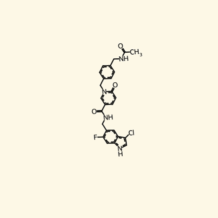 CC(=O)NCc1ccc(Cn2cc(C(=O)NCc3cc4c(Cl)c[nH]c4cc3F)ccc2=O)cc1